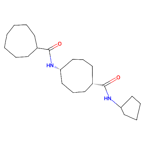 O=C(N[C@H]1CCC[C@@H](C(=O)NC2CCCC2)CCC1)C1CCCCCCC1